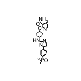 CN(C)C(=O)c1ccc(-c2ccnc(N[C@H]3CC[C@H](Oc4ncccc4C(N)=O)CC3)n2)cc1